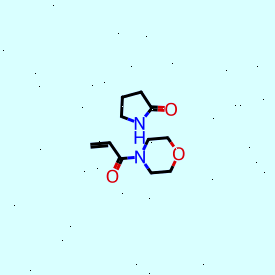 C=CC(=O)N1CCOCC1.O=C1CCCN1